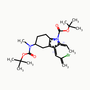 C=C(Br)/C=c1/c2c(n(C(=O)OC(C)(C)C)/c1=C/C)CCC(N(C)C(=O)OC(C)(C)C)C2